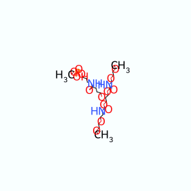 COCCOCCNC(=O)OCC(COC(=O)NCOCCOC)OCCCC(=O)NCCCOP(=O)(O)OC